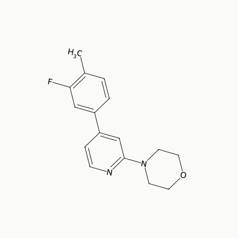 Cc1ccc(-c2ccnc(N3CCOCC3)c2)cc1F